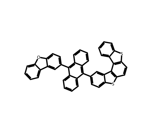 c1ccc2c(c1)oc1ccc(-c3c4ccccc4c(-c4ccc5sc6ccc7sc8ccccc8c7c6c5c4)c4ccccc34)cc12